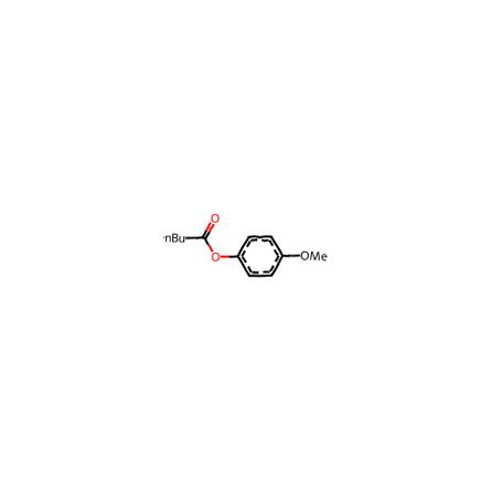 CCC[CH]C(=O)Oc1ccc(OC)cc1